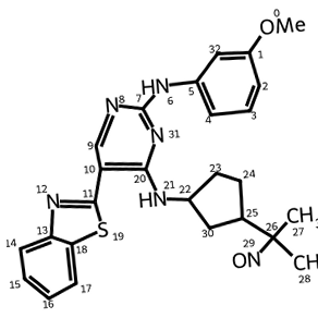 COc1cccc(Nc2ncc(-c3nc4ccccc4s3)c(NC3CCC(C(C)(C)N=O)C3)n2)c1